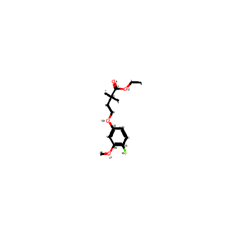 CCOC(=O)C(C)(C)CCOc1ccc(F)c(OC)c1